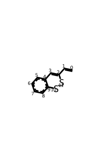 C=CC1=Cc2ccccc2SS1